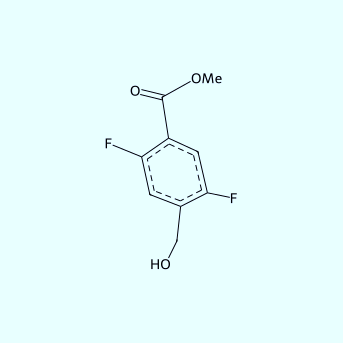 COC(=O)c1cc(F)c(CO)cc1F